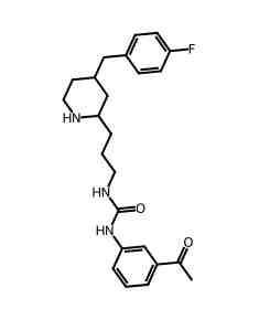 CC(=O)c1cccc(NC(=O)NCCCC2CC(Cc3ccc(F)cc3)CCN2)c1